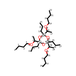 CCCCOC(C)[Si]1(CCC)O[Si](CCC)(C(C)OCCCC)O[Si](CCC)(C(C)OCCCC)O1